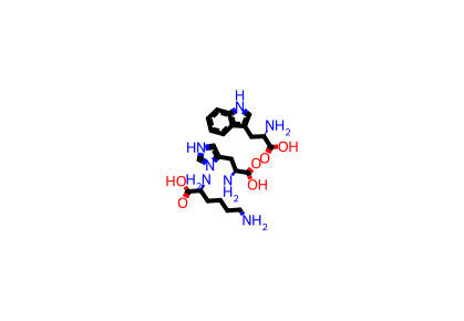 NCCCC[C@H](N)C(=O)O.N[C@@H](Cc1c[nH]c2ccccc12)C(=O)O.N[C@@H](Cc1c[nH]cn1)C(=O)O